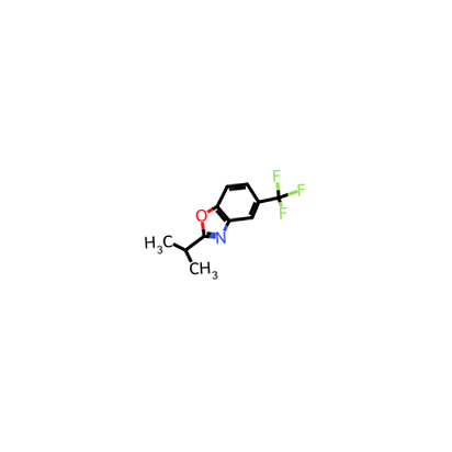 CC(C)c1nc2cc(C(F)(F)F)ccc2o1